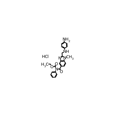 CCOC(=O)N(C(=O)c1ccc2c(c1)nc(CNc1ccc(N)cc1)n2C)c1ccccc1.Cl